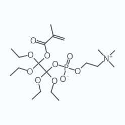 C=C(C)C(=O)OC(OCC)(OCC)C(OCC)(OCC)OP(=O)([O-])OCC[N+](C)(C)C